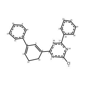 Clc1nc(C2=CC(c3ccccc3)=CCC2)nc(-c2ccccc2)n1